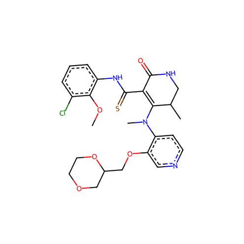 COc1c(Cl)cccc1NC(=S)C1=C(N(C)c2ccncc2OCC2COCCO2)C(C)CNC1=O